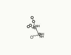 N=C1NC[C@H](CCCCN2C[C@@H](Cc3cccc4ccccc34)N(CCc3ccc(-c4ccccc4)cc3)C2=N)N1CCCCC1CCCCC1